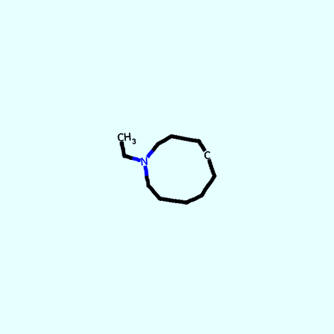 CCN1CCCCCCCCC1